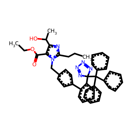 CCCc1nc(C(C)O)c(C(=O)OCC)n1Cc1ccc(-c2ccccc2C2(C(c3ccccc3)(c3ccccc3)c3ccccc3)N=NN=N2)cc1